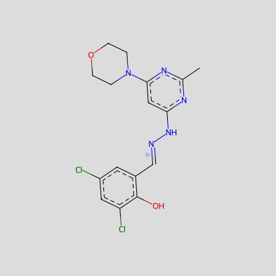 Cc1nc(N/N=C/c2cc(Cl)cc(Cl)c2O)cc(N2CCOCC2)n1